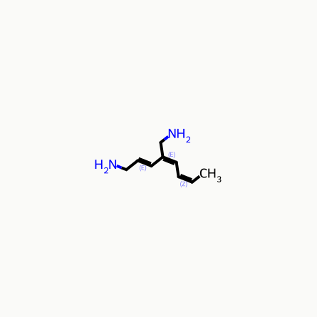 C\C=C/C=C(\C=C\CN)CN